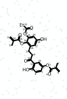 C=C(C)C(=O)Oc1ccc(O)c(C(=O)CCc2cc(O)cc(OC(=O)CC)c2OC(=O)C(=C)C)c1